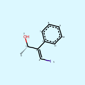 C[C@H](O)/C(=C/I)c1ccccc1